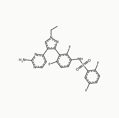 CCn1cc(-c2ccnc(N)n2)c(-c2c(F)ccc(NS(=O)(=O)c3cc(F)ccc3F)c2F)n1